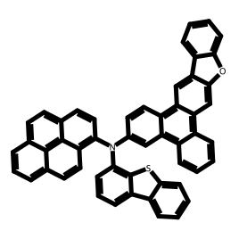 c1cc2ccc3ccc(N(c4ccc5c(c4)c4ccccc4c4cc6oc7ccccc7c6cc54)c4cccc5c4sc4ccccc45)c4ccc(c1)c2c34